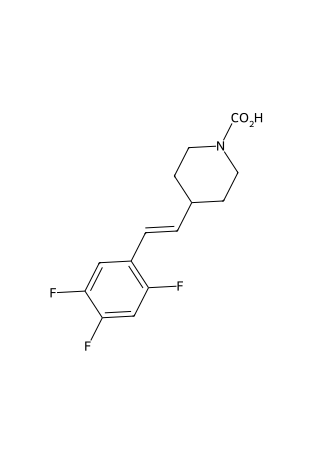 O=C(O)N1CCC(C=Cc2cc(F)c(F)cc2F)CC1